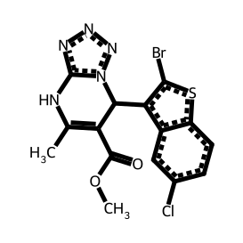 COC(=O)C1=C(C)Nc2nnnn2C1c1c(Br)sc2ccc(Cl)cc12